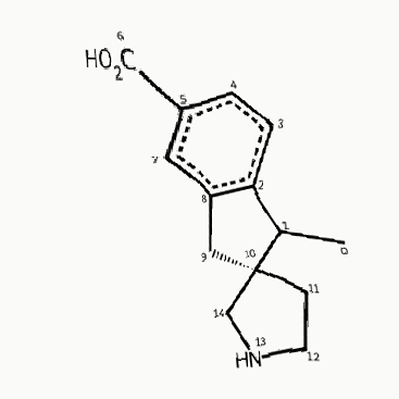 CC1c2ccc(C(=O)O)cc2C[C@@]12CCNC2